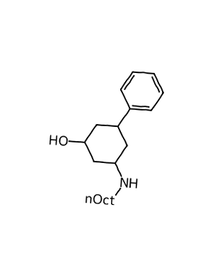 CCCCCCCCNC1CC(O)CC(c2ccccc2)C1